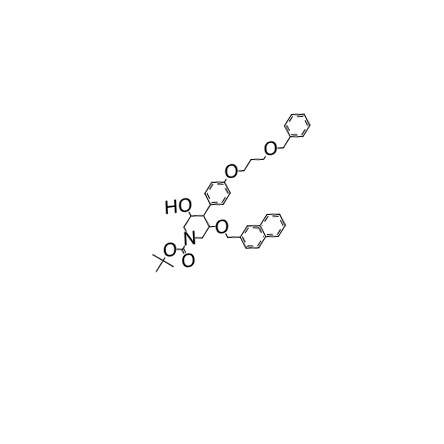 CC(C)(C)OC(=O)N1CC(O)C(c2ccc(OCCCOCc3ccccc3)cc2)C(OCc2ccc3ccccc3c2)C1